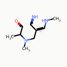 CN/C=C(\C=N)CN(C)C(C)C=O